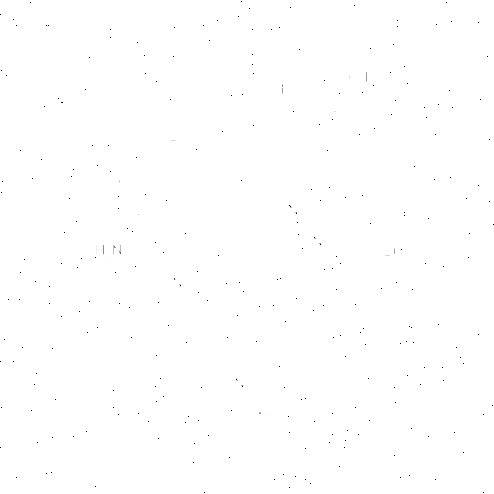 CCc1nn(-c2cc(F)c(C(N)=O)c(NC3CCN(C(C)=O)CC3)c2)c2c1CCC(C)(C)C2